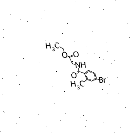 CCOC(=O)CNC(=O)c1ccc(Br)cc1C